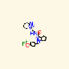 O=C(NCCc1nnc2n1CCCCC2)c1nn(Cc2ccc(OC(F)F)cc2)c2ccccc12